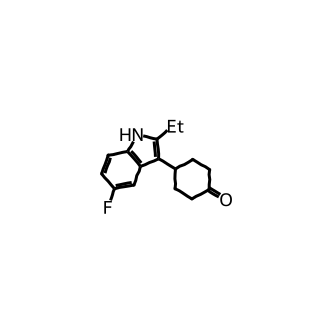 CCc1[nH]c2ccc(F)cc2c1C1CCC(=O)CC1